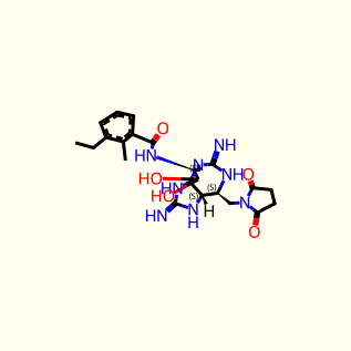 CCc1cccc(C(=O)N[C@H]2CN3C(=N)N[C@@H](CN4C(=O)CCC4=O)[C@@H]4NC(=N)NC43C2(O)O)c1C